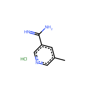 Cc1cncc(C(=N)N)c1.Cl